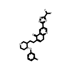 O=C1C(CCC2COCC[C@H]2Oc2cccc(F)c2)=CCc2ncc(-c3nnc(C(F)F)o3)cc21